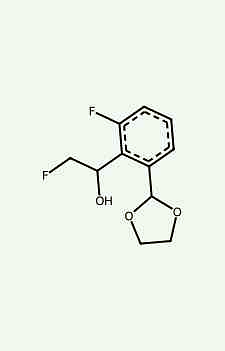 OC(CF)c1c(F)cccc1C1OCCO1